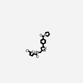 O=C(NCC1CC(c2ccc(C(=O)N3CCCC3)cc2)=NO1)c1ccc(Cl)s1